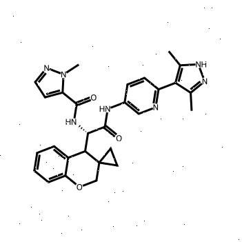 Cc1n[nH]c(C)c1-c1ccc(NC(=O)[C@@H](NC(=O)c2ccnn2C)C2c3ccccc3OCC23CC3)cn1